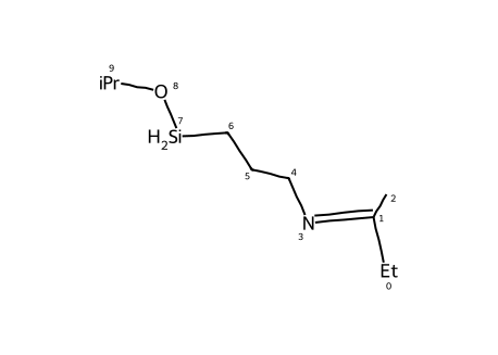 CCC(C)=NCCC[SiH2]OC(C)C